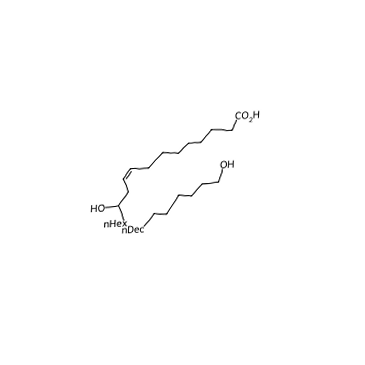 CCCCCCC(O)C/C=C\CCCCCCCC(=O)O.CCCCCCCCCCCCCCCCO